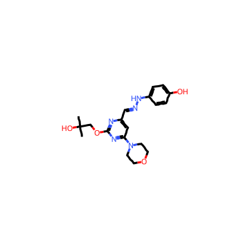 CC(C)(O)COc1nc(/C=N/Nc2ccc(O)cc2)cc(N2CCOCC2)n1